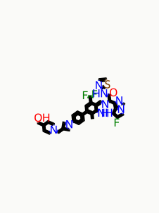 CC1=C(c2ccc(N3CC(CN4CCC(CO)CC4)C3)cc2)C=C(C(F)F)/C(=C/NC(C(=O)Nc2nccs2)c2ncn3c2C[C@@H](F)C3)C1=N